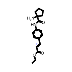 CCOC(=O)/C=C/c1ccc(NC(=O)C2(N)CCCC2)cc1